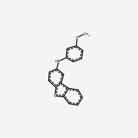 COc1cccc(Nc2ccc3sc4ccccc4c3c2)c1